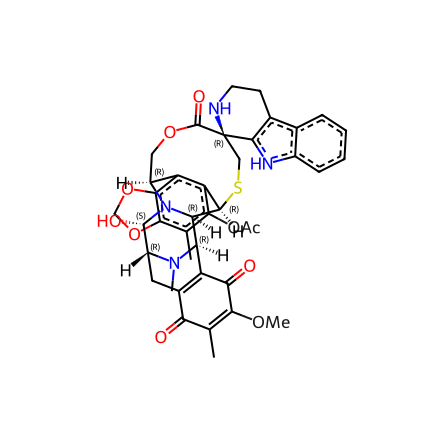 COC1=C(C)C(=O)C2=C(C1=O)[C@@H]1[C@@H]3[C@@H]4SC[C@]5(NCCc6c5[nH]c5ccccc65)C(=O)OC[C@@H](c5c6c(c(C)c(OC(C)=O)c54)OCO6)N3[C@@H](O)[C@@H](C2)N1C